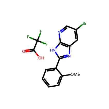 COc1ccccc1-c1nc2cc(Br)cnc2[nH]1.O=C(O)C(F)(F)F